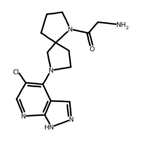 NCC(=O)N1CCCC12CCN(c1c(Cl)cnc3[nH]ncc13)C2